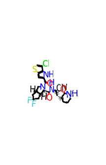 N#C[C@H](C[C@H]1CCCNC1=O)NC(=O)[C@H]1[C@H]2CC(F)(F)C[C@H]2CN1C(=O)c1cc2scc(Cl)c2[nH]1